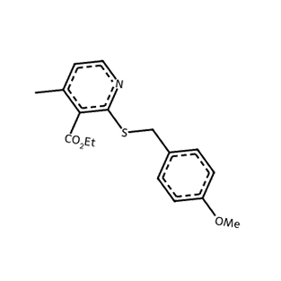 CCOC(=O)c1c(C)ccnc1SCc1ccc(OC)cc1